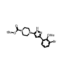 COc1c(Br)cccc1-c1cc(N2CCN(C(=O)OC(C)(C)C)CC2)[nH]n1